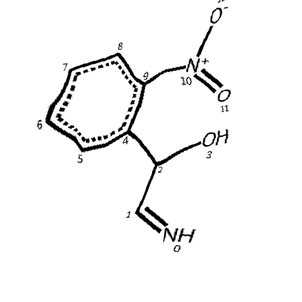 N=CC(O)c1ccccc1[N+](=O)[O-]